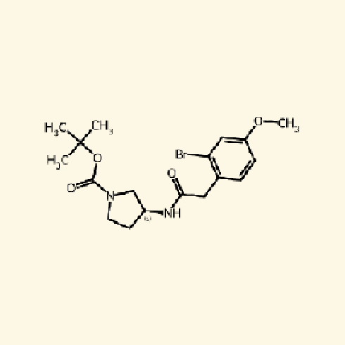 COc1ccc(CC(=O)N[C@H]2CCN(C(=O)OC(C)(C)C)C2)c(Br)c1